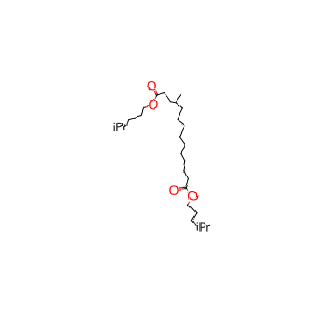 CC(C)CCCOC(=O)CCCCCCCCCC(C)CCC(=O)OCCCC(C)C